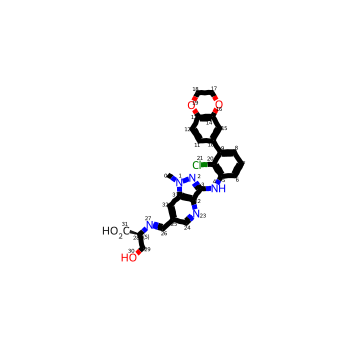 Cn1nc(Nc2cccc(-c3ccc4c(c3)OCCO4)c2Cl)c2ncc(C=N[C@@H](CO)C(=O)O)cc21